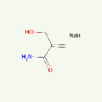 C=C(CO)C(N)=O.[NaH]